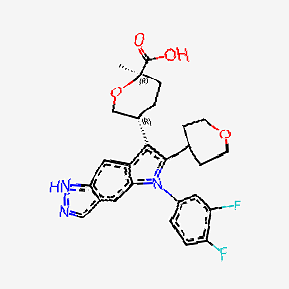 C[C@]1(C(=O)O)CC[C@H](c2c(C3CCOCC3)n(-c3ccc(F)c(F)c3)c3cc4cn[nH]c4cc23)CO1